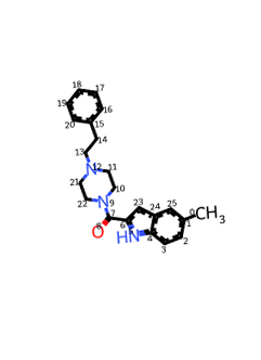 Cc1ccc2[nH]c(C(=O)N3CCN(CCc4ccccc4)CC3)cc2c1